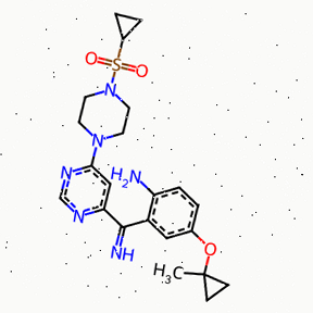 CC1(Oc2ccc(N)c(C(=N)c3cc(N4CCN(S(=O)(=O)C5CC5)CC4)ncn3)c2)CC1